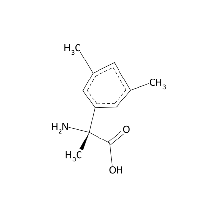 Cc1cc(C)cc([C@@](C)(N)C(=O)O)c1